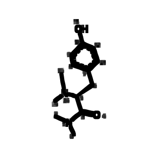 CN(C)C(=O)[C@H](Cc1ccc(O)cc1)N(C)C